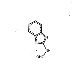 O=CNc1nc2ccccc2o1